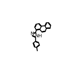 Cc1ccc(-c2cnc(-c3cccc4c3ccc3ccccc34)[nH]2)cc1